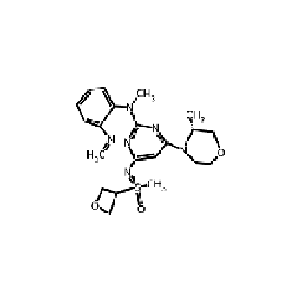 C=Nc1ccccc1N(C)c1nc(N=S(C)(=O)C2COC2)cc(N2CCOC[C@H]2C)n1